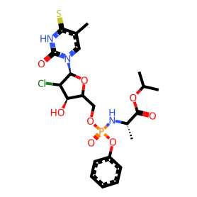 Cc1cn([C@H]2OC(COP(=O)(N[C@@H](C)C(=O)OC(C)C)Oc3ccccc3)[C@@H](O)C2Cl)c(=O)[nH]c1=S